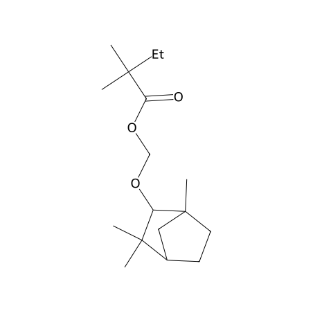 CCC(C)(C)C(=O)OCOC1C2(C)CCC(C2)C1(C)C